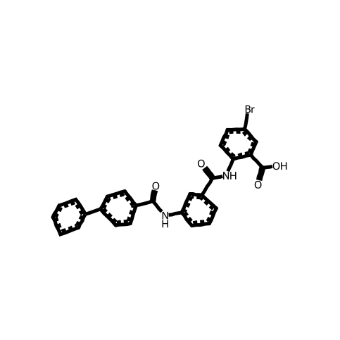 O=C(Nc1cccc(C(=O)Nc2ccc(Br)cc2C(=O)O)c1)c1ccc(-c2ccccc2)cc1